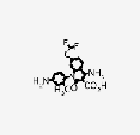 Cc1cc(N)ccc1-n1c(=O)c(C(=O)O)c(N)c2ccc(OC(F)F)cc21